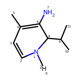 [2H]N1C=CC(C)=C(N)C1C(C)C